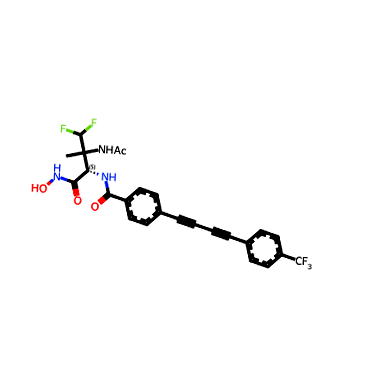 CC(=O)NC(C)(C(F)F)[C@H](NC(=O)c1ccc(C#CC#Cc2ccc(C(F)(F)F)cc2)cc1)C(=O)NO